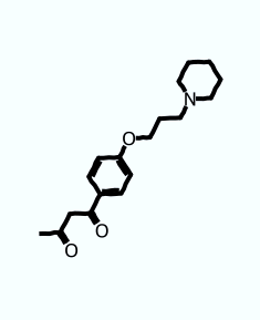 CC(=O)CC(=O)c1ccc(OCCCN2CCCCC2)cc1